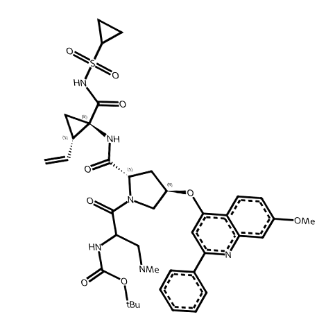 C=C[C@@H]1C[C@]1(NC(=O)[C@@H]1C[C@@H](Oc2cc(-c3ccccc3)nc3cc(OC)ccc23)CN1C(=O)C(CNC)NC(=O)OC(C)(C)C)C(=O)NS(=O)(=O)C1CC1